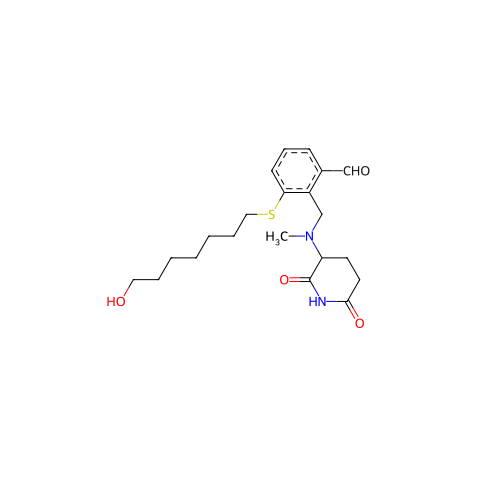 CN(Cc1c(C=O)cccc1SCCCCCCCO)C1CCC(=O)NC1=O